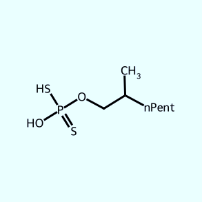 CCCCCC(C)COP(O)(=S)S